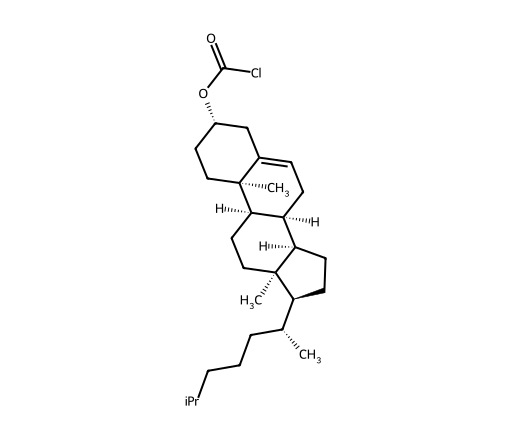 CC(C)CCC[C@@H](C)[C@@H]1CC[C@@H]2[C@@H]3CC=C4C[C@@H](OC(=O)Cl)CC[C@]4(C)[C@@H]3CC[C@@]21C